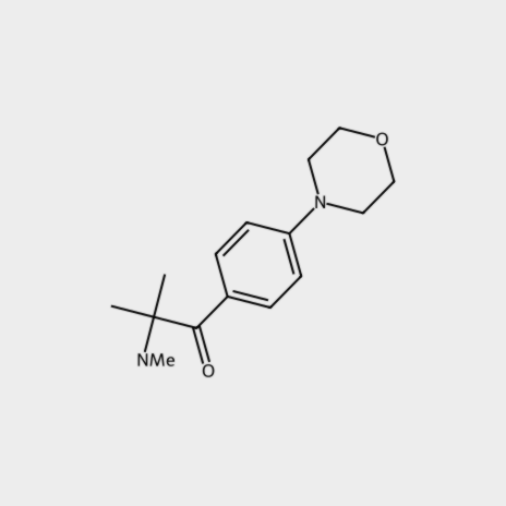 CNC(C)(C)C(=O)c1ccc(N2CCOCC2)cc1